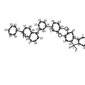 CC1(C)c2ccccc2-c2cc3c(cc21)Oc1cc(-c2cccc(-c4cccc5nc(-c6ccccc6)ccc45)c2)ccc1O3